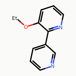 CCOc1cccnc1-c1cccnc1